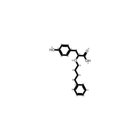 O=C(O)C(Cc1ccc(O)cc1)OCCCCc1ccccc1